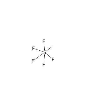 [CH2]S(F)(F)(F)(F)F